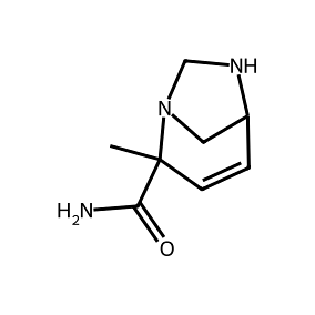 CC1(C(N)=O)C=CC2CN1CN2